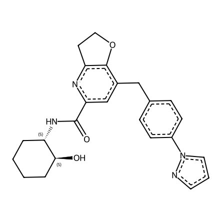 O=C(N[C@H]1CCCC[C@@H]1O)c1cc(Cc2ccc(-n3cccn3)cc2)c2c(n1)CCO2